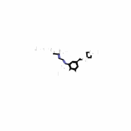 CCCCCNC(=O)/C(N)=C/C=C(\N)c1cc(C(=O)NC2CNC2)cc(F)c1C